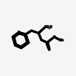 CC(C)(C)OC(=O)CC(Cc1ccccn1)C(=O)O